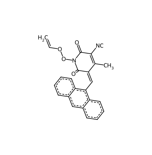 [C-]#[N+]C1=C(C)/C(=C/c2c3ccccc3cc3ccccc23)C(=O)N(OOC=C)C1=O